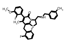 COc1cccc(-c2c(C)c(Cc3c(F)cccc3F)c3n(c2=O)C(CNCc2cccc(C)c2)CS3)c1F